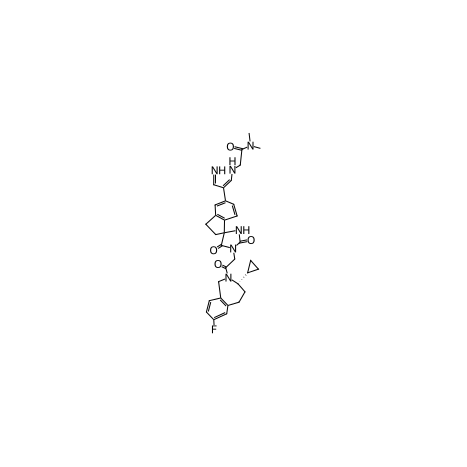 CN(C)C(=O)CN/C=C(\C=N)c1ccc2c(c1)CCC21NC(=O)N(CC(=O)N2Cc3ccc(F)cc3CC[C@H]2C2CC2)C1=O